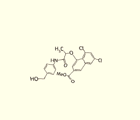 COC(=O)c1cc(OC(C)C(=O)Nc2ccc(CO)cc2)c2c(Cl)cc(Cl)cc2c1